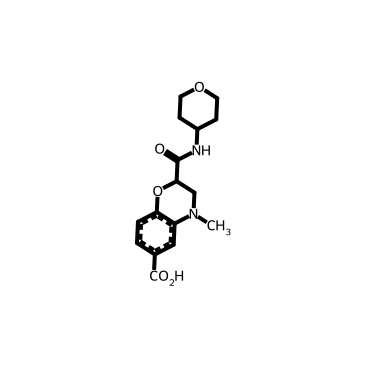 CN1CC(C(=O)NC2CCOCC2)Oc2ccc(C(=O)O)cc21